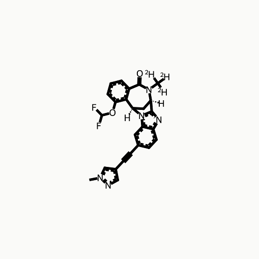 [2H]C([2H])([2H])N1C(=O)c2cccc(OC(F)F)c2[C@H]2C[C@@H]1c1nc3ccc(C#Cc4cnn(C)c4)cc3n12